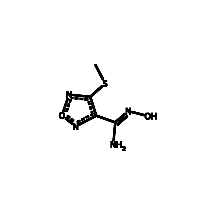 CSc1nonc1C(N)=NO